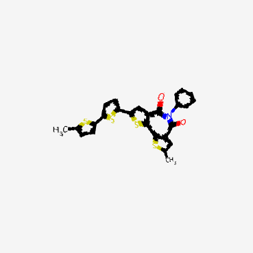 Cc1ccc(-c2ccc(-c3cc4c(=O)n(-c5ccccc5)c(=O)c5cc(C)sc5c4s3)s2)s1